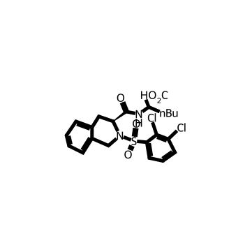 CCCCC(NC(=O)[C@@H]1Cc2ccccc2CN1S(=O)(=O)c1cccc(Cl)c1Cl)C(=O)O